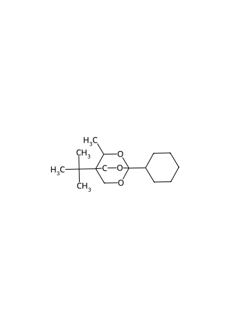 CC1OC2(C3CCCCC3)OCC1(C(C)(C)C)CO2